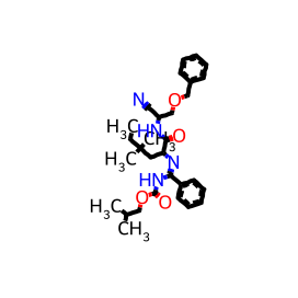 CCC(C)(C)CC(N=C(NC(=O)OCC(C)C)c1ccccc1)C(=O)NC(C#N)COCc1ccccc1